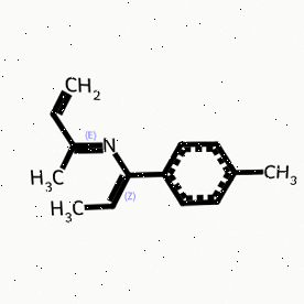 C=C/C(C)=N/C(=C\C)c1ccc(C)cc1